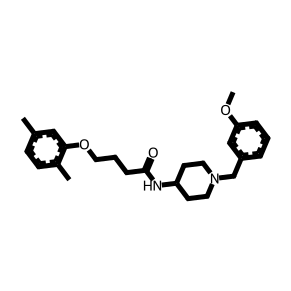 COc1cccc(CN2CCC(NC(=O)CCCOc3cc(C)ccc3C)CC2)c1